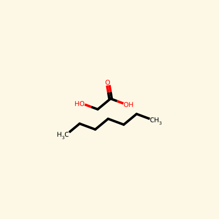 CCCCCCC.O=C(O)CO